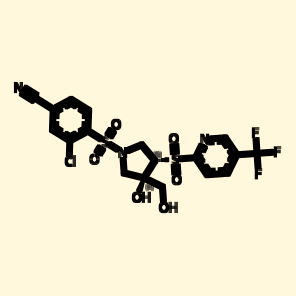 N#Cc1ccc(S(=O)(=O)N2C[C@H](S(=O)(=O)c3ccc(C(F)(F)F)cn3)[C@](O)(CO)C2)c(Cl)c1